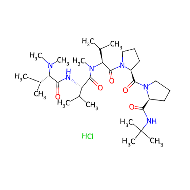 CC(C)[C@H](NC(=O)[C@H](C(C)C)N(C)C)C(=O)N(C)[C@H](C(=O)N1CCC[C@H]1C(=O)N1CCC[C@H]1C(=O)NC(C)(C)C)C(C)C.Cl